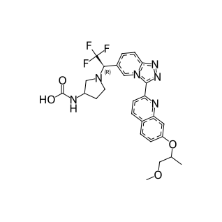 COCC(C)Oc1ccc2ccc(-c3nnc4ccc([C@@H](N5CCC(NC(=O)O)C5)C(F)(F)F)cn34)nc2c1